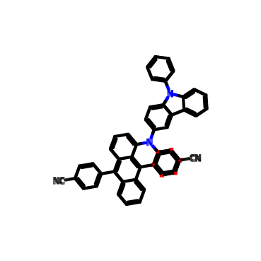 N#Cc1ccc(-c2c3ccccc3c(-c3ccc(C#N)cc3)c3c(N(c4ccccc4)c4ccc5c(c4)c4ccccc4n5-c4ccccc4)cccc23)cc1